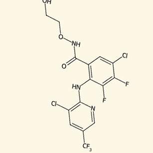 O=C(NOCCO)c1cc(Cl)c(F)c(F)c1Nc1ncc(C(F)(F)F)cc1Cl